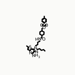 CCCCc1nc2c(N)nc3cc(C)sc3c2n1CCCCNC(=O)C1CCC(COS(=O)(=O)c2ccc(C)cc2)CC1